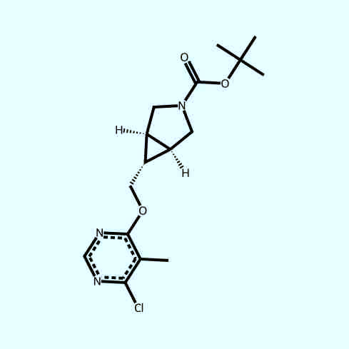 Cc1c(Cl)ncnc1OC[C@@H]1[C@H]2CN(C(=O)OC(C)(C)C)C[C@@H]12